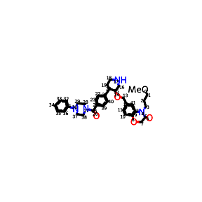 COCCCN1C(=O)COc2ccc(COC3CNCCC3c3ccc(C(=O)N4CCN(c5ccccc5)CC4)cc3)cc21